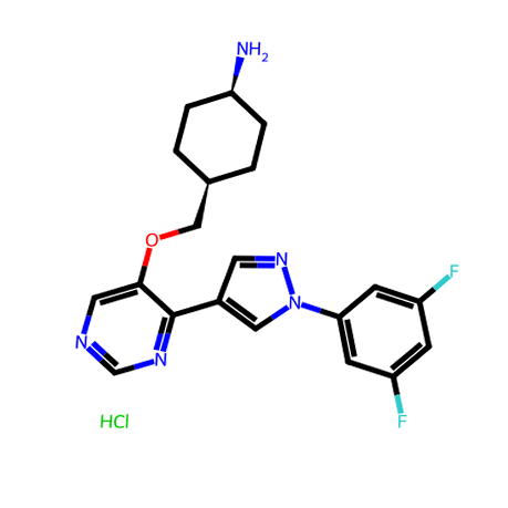 Cl.N[C@H]1CC[C@@H](COc2cncnc2-c2cnn(-c3cc(F)cc(F)c3)c2)CC1